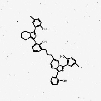 Cc1ccc(O)c(-c2nc(-c3cccc(CCCc4ccc5c(-c6ccccc6O)nc(-c6cc(C)ccc6O)n5c4)c3O)c3n2CCCC3)c1